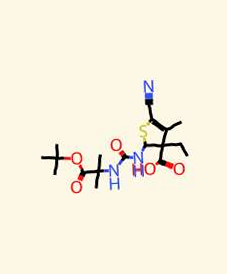 CCC1(C(=O)O)C(C)=C(C#N)SC1NC(=O)NC(C)(C)C(=O)OC(C)(C)C